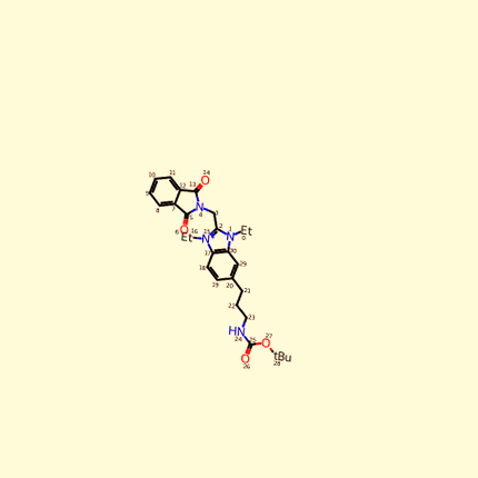 CCn1c(CN2C(=O)c3ccccc3C2=O)[n+](CC)c2ccc(CCCNC(=O)OC(C)(C)C)cc21